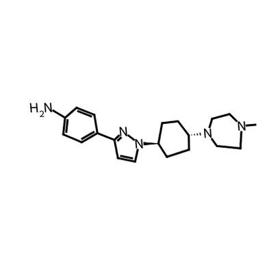 CN1CCN([C@H]2CC[C@H](n3ccc(-c4ccc(N)cc4)n3)CC2)CC1